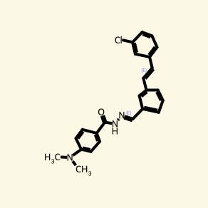 CN(C)c1ccc(C(=O)N/N=C/c2cccc(/C=C/c3cccc(Cl)c3)c2)cc1